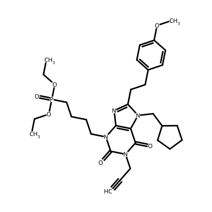 C#CCn1c(=O)c2c(nc(CCc3ccc(OC)cc3)n2CC2CCCC2)n(CCCCP(=O)(OCC)OCC)c1=O